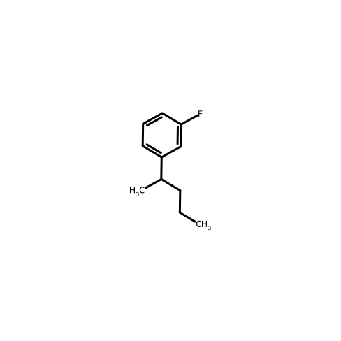 CCCC(C)c1cccc(F)c1